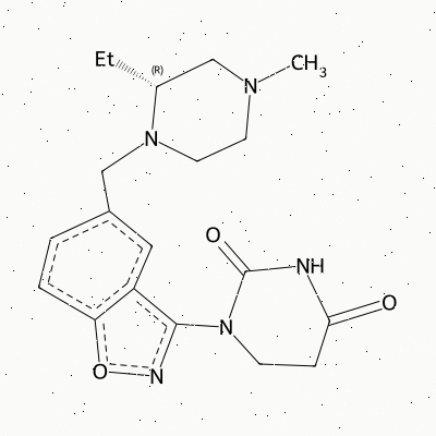 CC[C@@H]1CN(C)CCN1Cc1ccc2onc(N3CCC(=O)NC3=O)c2c1